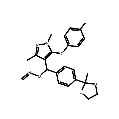 C=NOC(c1ccc(C2(C)OCCO2)cc1)c1c(C)nn(C)c1Oc1ccc(F)cc1